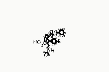 O=C(O)C(CCNC1COC1)C1c2ccc(F)cc2N(C(=O)OCc2ccccc2)[C@@H]2CC[C@H]12